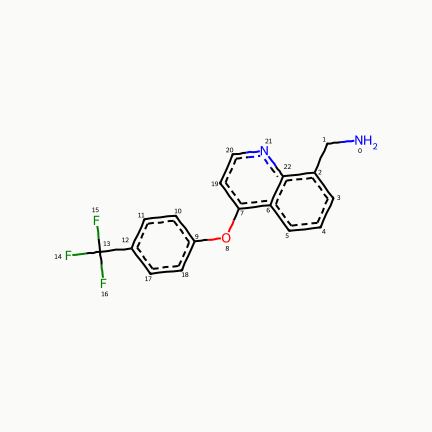 NCc1cccc2c(Oc3ccc(C(F)(F)F)cc3)ccnc12